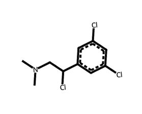 CN(C)CC(Cl)c1cc(Cl)cc(Cl)c1